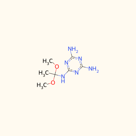 COC(C)(Nc1nc(N)nc(N)n1)OC